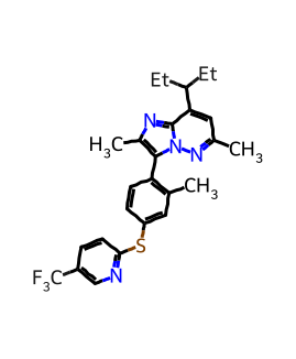 CCC(CC)c1cc(C)nn2c(-c3ccc(Sc4ccc(C(F)(F)F)cn4)cc3C)c(C)nc12